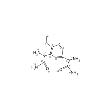 CCc1ccc(N(N)C(N)=O)cc1N(N)C(N)=O